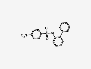 O=[N+]([O-])c1ccc(S(=O)(=O)Nc2cccnc2-c2[c]cccc2)cc1